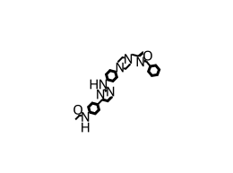 CC(=O)Nc1ccc(-c2ccnc(Nc3ccc(N4CCN(Cc5coc(-c6ccccc6)n5)CC4)cc3)n2)cc1